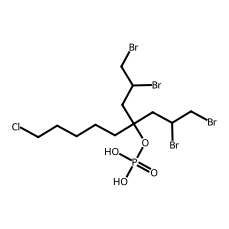 O=P(O)(O)OC(CCCCCCl)(CC(Br)CBr)CC(Br)CBr